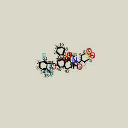 O=C(C1CCS(=O)(=O)CC1)N1CC[C@@]2(S(=O)(=O)c3ccccc3)c3ccc(OCc4c(F)cccc4C(F)(F)F)cc3CC[C@@H]12